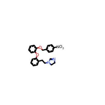 O=[N+]([O-])c1ccc(COc2ccccc2Oc2ccccc2CCN2C=NCC2)cc1